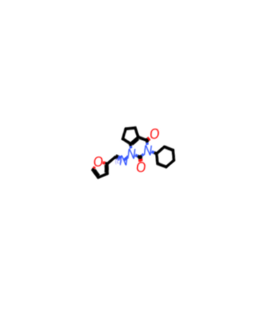 O=c1c2c(n(/N=C/c3ccco3)c(=O)n1C1CCCCC1)CCC2